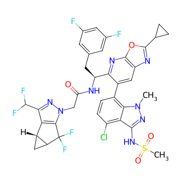 Cn1nc(NS(C)(=O)=O)c2c(Cl)ccc(-c3cc4nc(C5CC5)oc4nc3[C@H](Cc3cc(F)cc(F)c3)NC(=O)Cn3nc(C(F)F)c4c3C(F)(F)C3C[C@H]43)c21